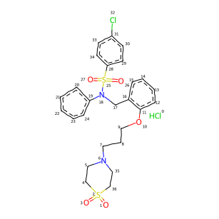 Cl.O=S1(=O)CCN(CCCOc2ccccc2CN(c2ccccc2)S(=O)(=O)c2ccc(Cl)cc2)CC1